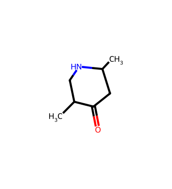 CC1CC(=O)C(C)CN1